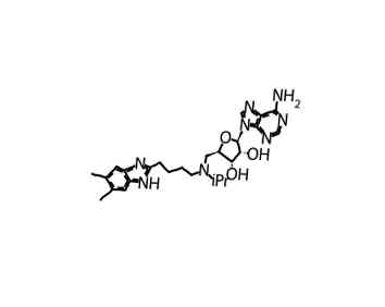 Cc1cc2nc(CCCCN(C[C@H]3O[C@@H](n4cnc5c(N)ncnc54)[C@H](O)[C@@H]3O)C(C)C)[nH]c2cc1C